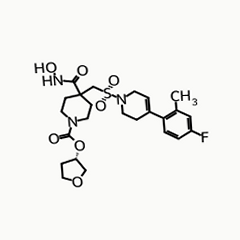 Cc1cc(F)ccc1C1=CCN(S(=O)(=O)CC2(C(=O)NO)CCN(C(=O)O[C@H]3CCOC3)CC2)CC1